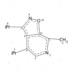 Cc1ncc(C(C)C)c2c(C(C)C)noc12